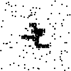 CCCCCOC[C@H](COP(=O)(O)NCCO)OCCCCC